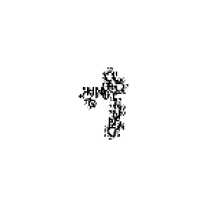 COc1ccccc1CNC(=O)OC1(CCCCN2CCN(c3ccc4ccccc4n3)CC2)c2ccccc2-c2ccccc21